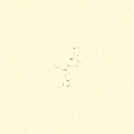 CN1CCCn2c(-c3cc(Cl)ccc3F)nc(C(=O)N[C@H](C(=O)N3CCNC(=O)C3)C(C)(C)C)c2C1